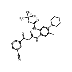 CC(C)(C)OC(=O)Nc1cc(N2CCSCC2)c(I)cc1NC(=O)CC(=O)c1cccc(C#N)c1